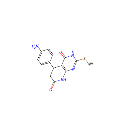 CCCSc1nc2c(c(=O)[nH]1)C(c1ccc(N)cc1)CC(=O)N2